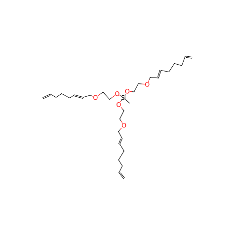 C=CCCCC=CCOCCO[Si](C)(OCCOCC=CCCCC=C)OCCOCC=CCCCC=C